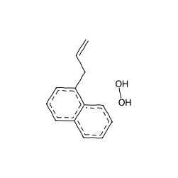 C=CCc1cccc2ccccc12.OO